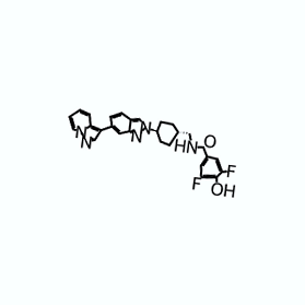 O=C(NC[C@H]1CC[C@H](n2cc3ccc(-c4cnn5ccccc45)cc3n2)CC1)c1cc(F)c(O)c(F)c1